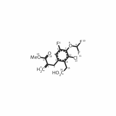 C=C(Cc1cc(F)c(OC(F)F)c(Cl)c1CC(=O)O)C(=O)OC